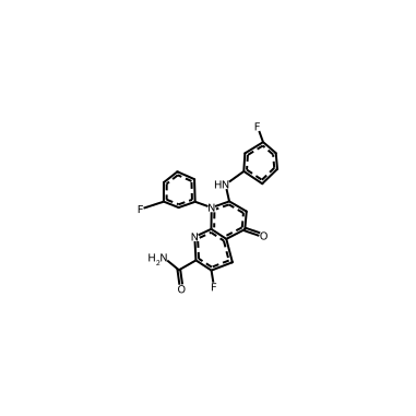 NC(=O)c1nc2c(cc1F)c(=O)cc(Nc1cccc(F)c1)n2-c1cccc(F)c1